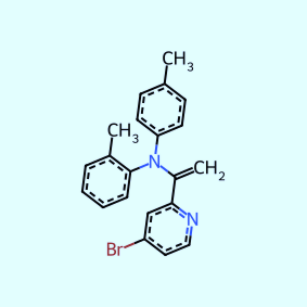 C=C(c1cc(Br)ccn1)N(c1ccc(C)cc1)c1ccccc1C